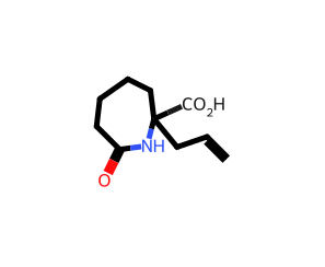 C=CCC1(C(=O)O)CCCCC(=O)N1